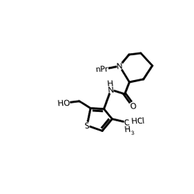 CCCN1CCCCC1C(=O)Nc1c(C)csc1CO.Cl